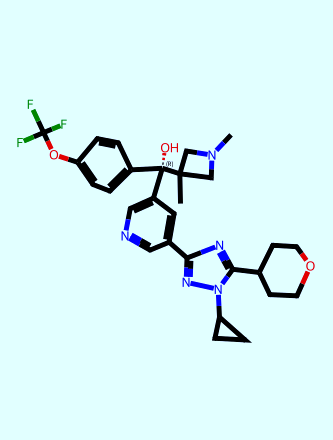 CN1CC(C)([C@](O)(c2ccc(OC(F)(F)F)cc2)c2cncc(-c3nc(C4CCOCC4)n(C4CC4)n3)c2)C1